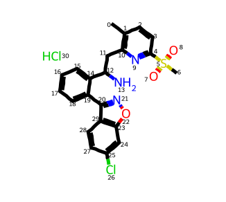 Cc1ccc(S(C)(=O)=O)nc1CC(N)c1ccccc1-c1noc2cc(Cl)ccc12.Cl